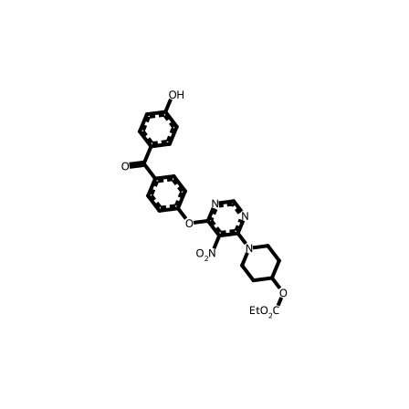 CCOC(=O)OC1CCN(c2ncnc(Oc3ccc(C(=O)c4ccc(O)cc4)cc3)c2[N+](=O)[O-])CC1